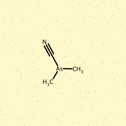 C[As](C)C#N